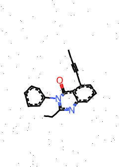 CC#Cc1cccc2nc(CC)n(-c3ccccc3)c(=O)c12